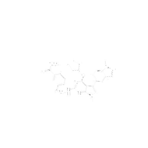 CNC(=O)c1ccc(Nc2nc(OC3CCCC3)c3c(-c4ccc5[nH]ccc5c4)c[nH]c3n2)c(OC)c1